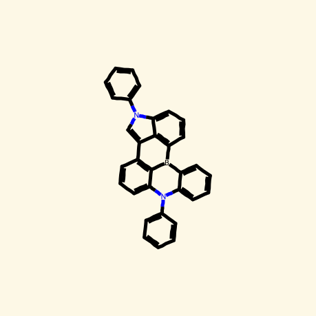 c1ccc(N2c3ccccc3B3c4c(cccc42)-c2cn(-c4ccccc4)c4cccc3c24)cc1